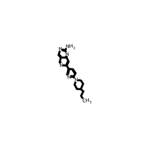 CCCC1CCN(c2ccc(-c3cc4nc(N)ncc4cn3)cn2)CC1